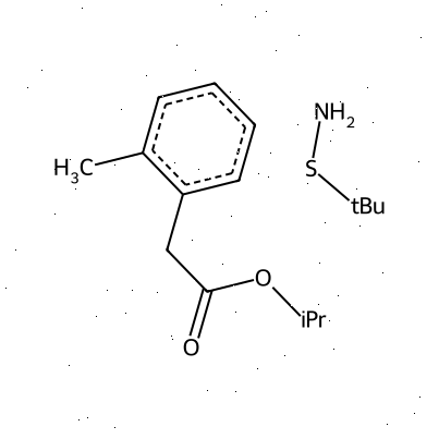 CC(C)(C)SN.Cc1ccccc1CC(=O)OC(C)C